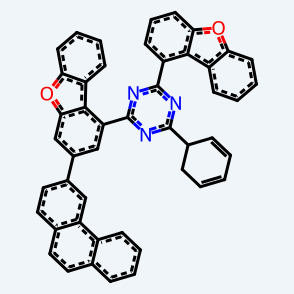 C1=CCC(c2nc(-c3cccc4oc5ccccc5c34)nc(-c3cc(-c4ccc5ccc6ccccc6c5c4)cc4oc5ccccc5c34)n2)C=C1